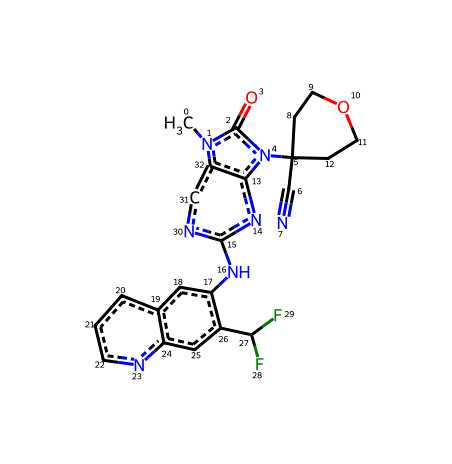 Cn1c(=O)n(C2(C#N)CCOCC2)c2nc(Nc3cc4cccnc4cc3C(F)F)ncc21